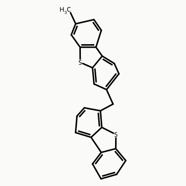 Cc1ccc2c(c1)sc1cc(Cc3cccc4c3sc3ccccc34)ccc12